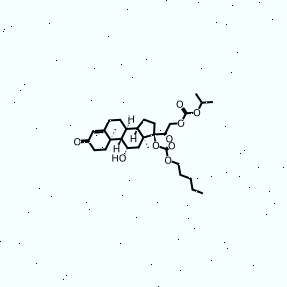 CCCCCOC(=O)O[C@]1(C(=O)COC(=O)OC(C)C)CC[C@H]2[C@@H]3CCC4=CC(=O)CC[C@]4(C)[C@H]3[C@@H](O)C[C@@]21C